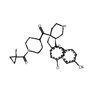 CC1(C(=O)N2CCC(C(=O)[C@]3(CCOc4ccc(C#N)cn4)CCNC[C@H]3c3ccc(Cl)cc3)CC2)CC1